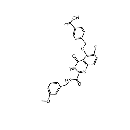 COc1cccc(CNC(=O)c2nc3ccc(F)c(OCc4ccc(C(=O)O)cc4)c3c(=O)[nH]2)c1